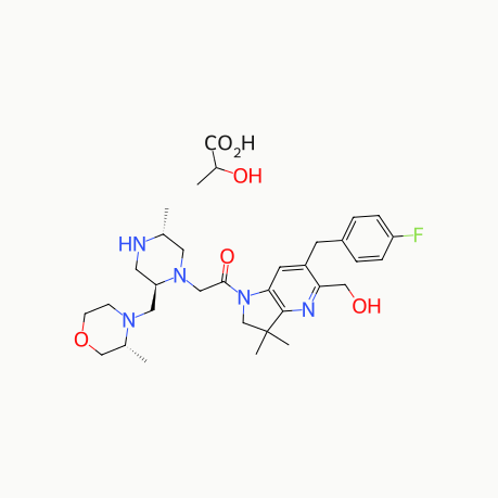 CC(O)C(=O)O.C[C@@H]1CN(CC(=O)N2CC(C)(C)c3nc(CO)c(Cc4ccc(F)cc4)cc32)[C@@H](CN2CCOC[C@H]2C)CN1